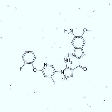 COc1cc2cc(C(=O)c3cnn(-c4cnc(Oc5ccccc5F)cc4C)c3N)[nH]c2cc1N